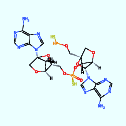 C[C@@H]1[C@@H]2OC[C@@]1(n1cnc3c(N)ncnc31)O[C@@H]2CO[P@](=O)(S)O[C@H]1[C@H]2OC[C@]1(COPS)O[C@H]2n1cnc2c(N)ncnc21